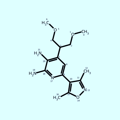 COCC(COC)c1cc(-c2c(C)noc2C)nc(N)c1N